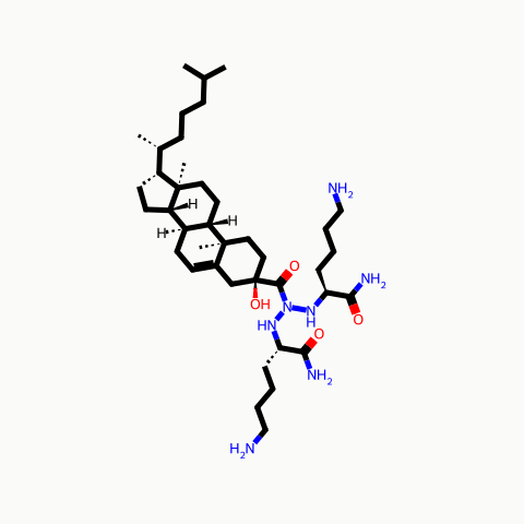 CC(C)CCC[C@@H](C)[C@H]1CC[C@H]2[C@@H]3CC=C4C[C@@](O)(C(=O)N(N[C@@H](CCCCN)C(N)=O)N[C@@H](CCCCN)C(N)=O)CC[C@]4(C)[C@H]3CC[C@]12C